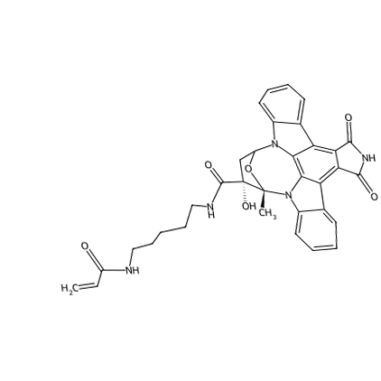 C=CC(=O)NCCCCCNC(=O)[C@@]1(O)CC2O[C@]1(C)n1c3ccccc3c3c4c(c5c6ccccc6n2c5c31)C(=O)NC4=O